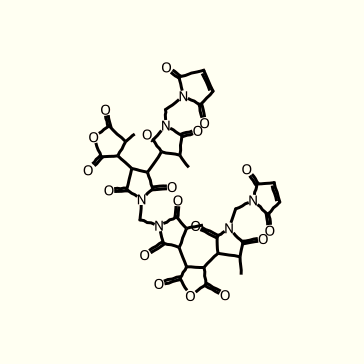 CC1C(=O)N(CN2C(=O)C=CC2=O)C(=O)C1C1C(=O)OC(=O)C1C1C(=O)N(CN2C(=O)C(C3C(=O)OC(=O)C3C)C(C3C(=O)N(CN4C(=O)C=CC4=O)C(=O)C3C)C2=O)C(=O)C1C